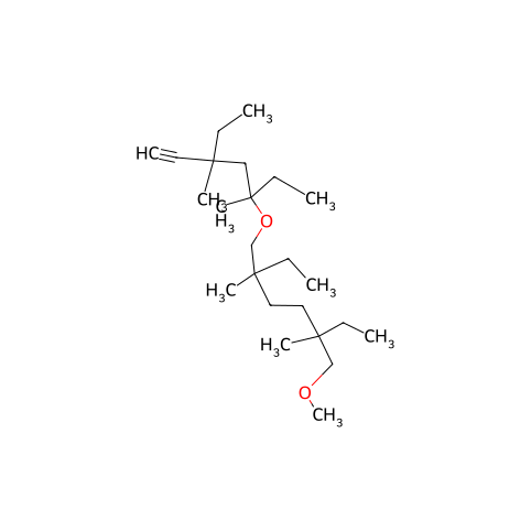 C#CC(C)(CC)CC(C)(CC)OCC(C)(CC)CCC(C)(CC)COC